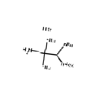 Br.CCCCCCC(CCCC)C(N)(CCCC)CCCC